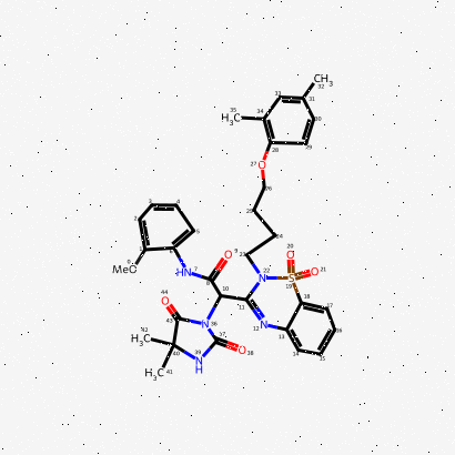 COc1ccccc1NC(=O)C(C1=Nc2ccccc2S(=O)(=O)N1CCCCOc1ccc(C)cc1C)N1C(=O)NC(C)(C)C1=O